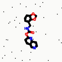 O=C(NCc1cccc2c1OCO2)Oc1ccc2cnccc2n1